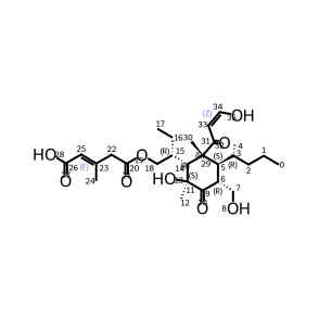 CCC[C@@H](C)[C@H]1[C@H](CO)C(=O)[C@@](C)(O)[C@H]([C@@H](CC)COC(=O)C/C(C)=C/C(=O)O)[C@]1(C)C(=O)/C=C\O